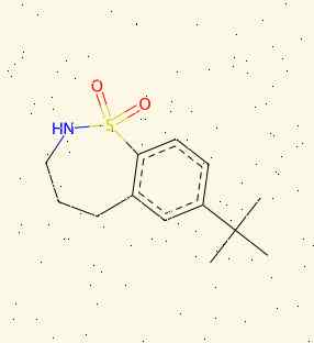 CC(C)(C)c1ccc2c(c1)CCCNS2(=O)=O